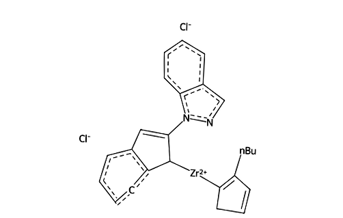 CCCCC1=[C]([Zr+2][CH]2C(n3ncc4ccccc43)=Cc3ccccc32)CC=C1.[Cl-].[Cl-]